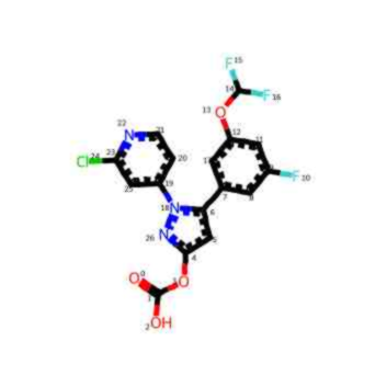 O=C(O)Oc1cc(-c2cc(F)cc(OC(F)F)c2)n(-c2ccnc(Cl)c2)n1